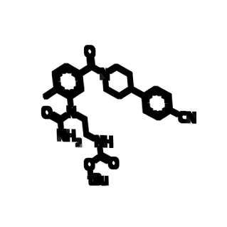 Cc1ccc(C(=O)N2CCC(c3ccc(C#N)cc3)CC2)cc1N(CCNC(=O)OC(C)(C)C)C(N)=O